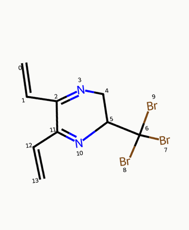 C=CC1=NCC(C(Br)(Br)Br)N=C1C=C